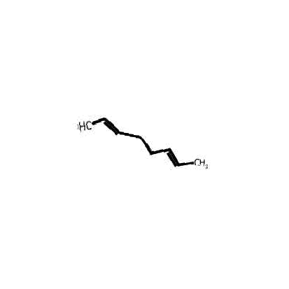 [CH]C=CCCC=CC